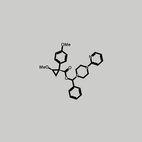 COc1ccc([C@]2(C(=O)OC(c3ccccc3)N3CCN(c4ccccn4)CC3)C[C@H]2OC)cc1